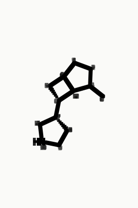 CC1CCC2C[C@@H]([C@@H]3CCNC3)C12